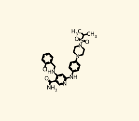 CC(C)S(=O)(=O)N1CCN(c2ccc(Nc3cc(NCc4ccccc4Cl)c(C(N)=O)cn3)cc2)CC1